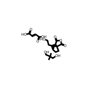 CC(C)(CO)CO.O=C(O)C=CC(=O)O.O=C1OC(=O)C23CCC(C2)C(CCO)=C13